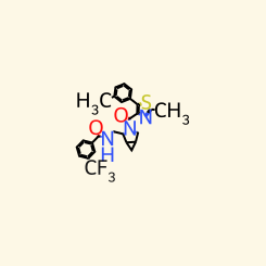 Cc1cccc(-c2sc(C)nc2C(=O)N2CC3CC3C2CNC(=O)c2cccc(C(F)(F)F)c2)c1